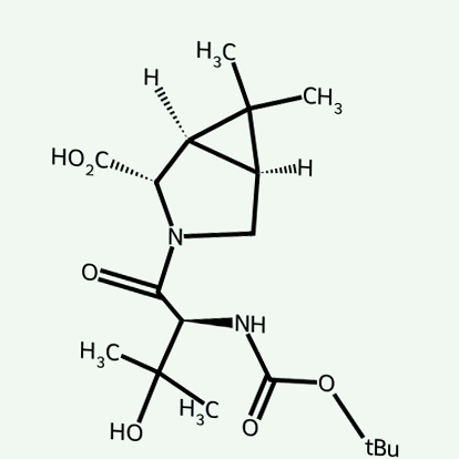 CC(C)(C)OC(=O)N[C@H](C(=O)N1C[C@H]2[C@@H]([C@H]1C(=O)O)C2(C)C)C(C)(C)O